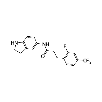 O=C(CCc1ccc(C(F)(F)F)cc1F)Nc1ccc2c(c1)CCN2